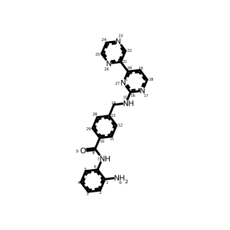 Nc1ccccc1NC(=O)c1ccc(CNc2nccc(-c3cnccn3)n2)cc1